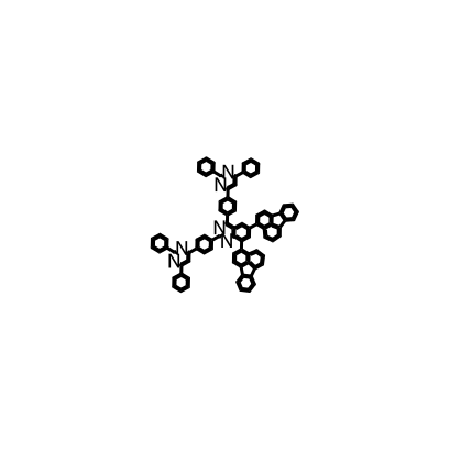 c1ccc(-c2cc(-c3ccc(-c4nc(-c5ccc(-c6cc(-c7ccccc7)nc(-c7ccccc7)n6)cc5)c5cc(-c6ccc7c8c(cccc68)-c6ccccc6-7)cc(-c6ccc7c8c(cccc68)-c6ccccc6-7)c5n4)cc3)nc(-c3ccccc3)n2)cc1